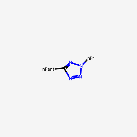 CCCCCc1nnn(CCC)n1